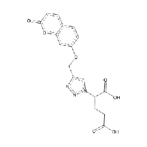 O=C(O)CCC(C(=O)O)n1cc(COc2ccc3ccc(=O)oc3c2)nn1